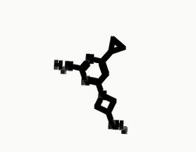 Nc1nc(C2CC2)cc(N2CC(N)C2)n1